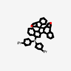 CC(C)c1ccc(N(c2ccc(C(C)C)cc2)c2cc3c(c4ccccc24)C2(c4ccccc4-c4ccccc42)c2c-3c3ccccc3c3ccccc23)cc1